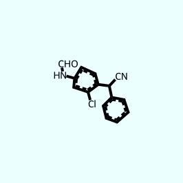 N#CC(c1ccccc1)c1ccc(NC=O)cc1Cl